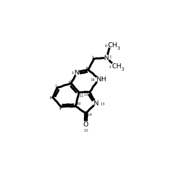 CN(C)CC1=Nc2cccc3c2C(=NC3=O)N1